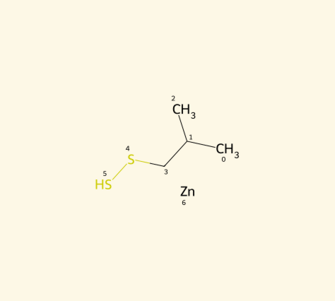 CC(C)CSS.[Zn]